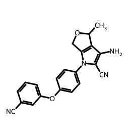 CC1OCc2c1c(N)c(C#N)n2-c1ccc(Oc2cccc(C#N)c2)cc1